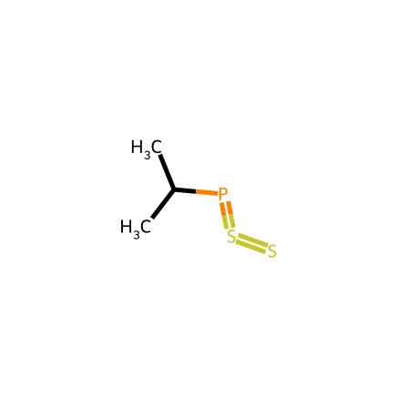 CC(C)P=S=S